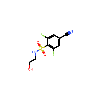 N#Cc1cc(F)c(S(=O)(=O)NCCO)c(F)c1